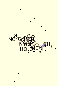 C/N=C/c1cncc(COc2cc(OCc3cccc(-c4cccc(COc5cc(OCc6cncc(C#N)c6)c(CNC)cc5Cl)c4C)c3C)c(Cl)cc2CN(C)C(CCO)C(=O)O)c1